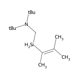 CC(C)=C(C)[SiH2]CN(C(C)(C)C)C(C)(C)C